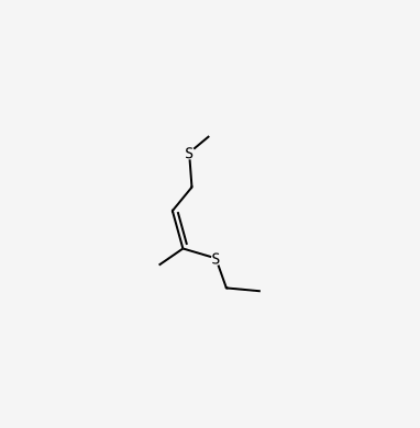 CCS/C(C)=C\CSC